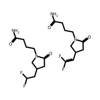 NC(=O)CCCN1CC(C=C(F)F)CC1=O.NC(=O)CCCN1CC(CC(F)F)CC1=O